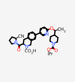 CC(C)OC(=O)N1CCC([C@H](C)Oc2ccc(-c3ccc4c(c3)CN(C(=O)O)C(C(=O)N3CCC[C@H]3C#N)C4)cn2)CC1